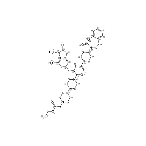 CCOC(=O)CN1CCN(C2CCN(C(=O)C(Cc3cc(C)c4c(c3)oc(=O)n4C)OC(=O)N3CCC(N4CCc5ccccc5NC4=O)CC3)CC2)CC1